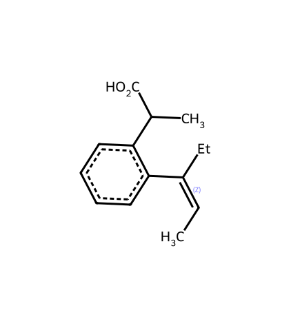 C/C=C(/CC)c1ccccc1C(C)C(=O)O